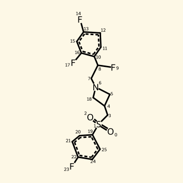 O=S(=O)(CC1CN(CC(F)c2ccc(F)cc2F)C1)c1ccc(F)cc1